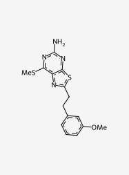 COc1cccc(CCc2nc3c(SC)nc(N)nc3s2)c1